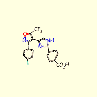 O=C(O)c1ccc(-c2nc(-c3c(-c4ccc(F)cc4)noc3C(F)(F)F)c[nH]2)cc1